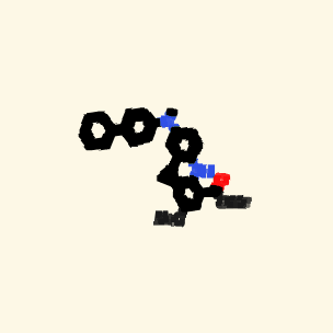 COC(=O)c1cc(OC)ccc1Nc1ccc(N(C)c2ccc(C3CCCCC3)cc2)cc1C1CC1